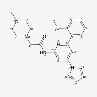 COc1ccccc1-c1nc(NC(=O)CN2CCN(C)CC2)cc(-n2cccn2)n1